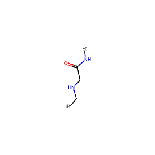 CCNC(=O)CNCC(C)C